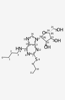 CCCCNc1nc(SCCC)nc2c1ncn2[C@@H]1O[C@H](CO)C(O)C1O